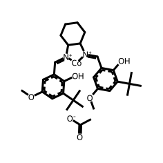 CC(=O)[O-].COc1cc(C=[N+]2[Co][N+](=Cc3cc(OC)cc(C(C)(C)C)c3O)C3CCCCC32)c(O)c(C(C)(C)C)c1